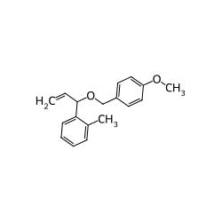 C=CC(OCc1ccc(OC)cc1)c1ccccc1C